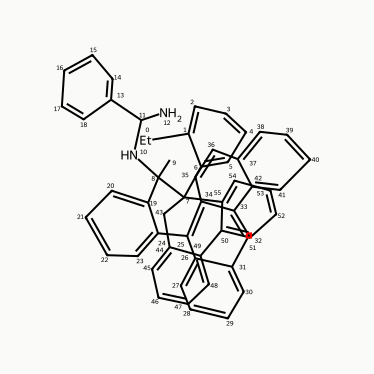 CCc1ccccc1C1(C(C)(NC(N)c2ccccc2)c2ccccc2-c2c3ccccc3cc3c2ccc2ccccc23)Cc2ccccc2-c2ccccc21